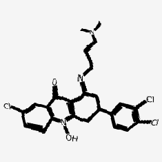 CN(C)CCCN=C1CC(c2ccc(Cl)c(Cl)c2)Cc2c1c(=O)c1cc(Cl)ccc1n2O